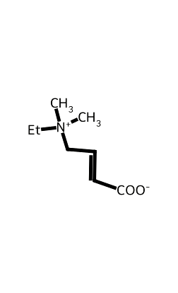 CC[N+](C)(C)C/C=C/C(=O)[O-]